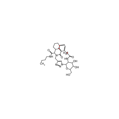 CCCCNC(=O)C(C1CCCCC1)N(Cc1cn(C2OC(CO)C(O)C(O)C2NC(C)=O)nn1)C(=O)c1ccccc1Cl